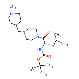 CC(C)C[C@H](NC(=O)OC(C)(C)C)C(=O)N1CCN(CC2CCN(C)CC2)CC1